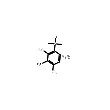 C[Si](C)([O-])c1ccc(C(F)(F)F)c(C(F)(F)F)c1C(F)(F)F.[Cl-].[Mg+2]